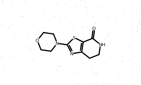 O=C1NCCc2nc(N3CCOCC3)sc21